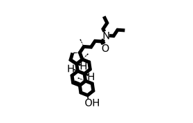 CCCN(CCC)C(=O)CC[C@@H](C)[C@H]1CC[C@H]2[C@@H]3CC=C4C[C@@H](O)CC[C@]4(C)[C@H]3CC[C@]12C